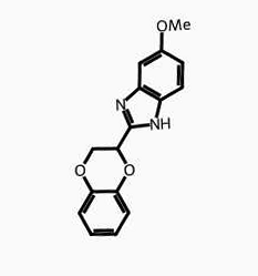 COc1ccc2[nH]c(C3COc4ccccc4O3)nc2c1